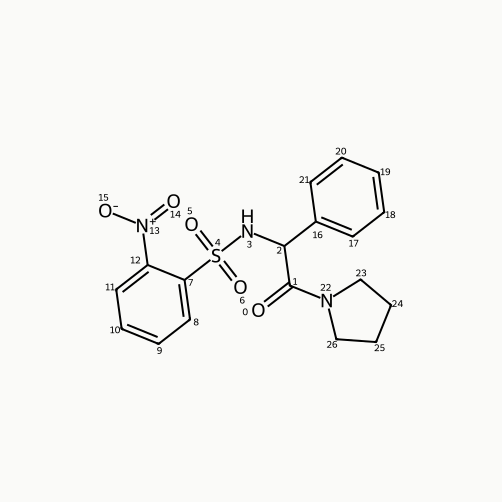 O=C(C(NS(=O)(=O)c1ccccc1[N+](=O)[O-])c1ccccc1)N1CCCC1